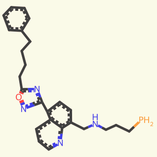 PCCCNCc1ccc(-c2noc(CCCCc3ccccc3)n2)c2cccnc12